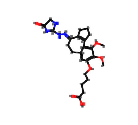 COc1c(OCCCCC(=O)O)cc2c(c1OC)C1=C(CCC1)C(=NNC1=NC(=O)CN1)CC2